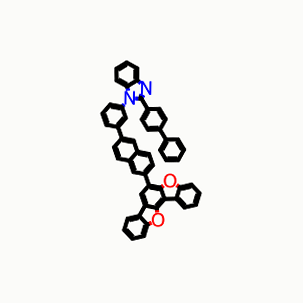 c1ccc(-c2ccc(-c3nc4ccccc4n3-c3cccc(-c4ccc5cc(-c6cc7c8ccccc8oc7c7c6oc6ccccc67)ccc5c4)c3)cc2)cc1